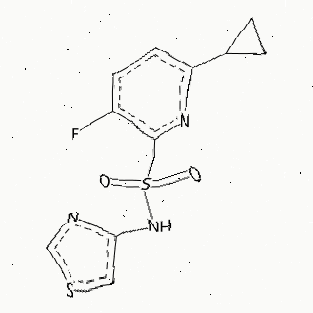 O=S(=O)(Nc1cscn1)c1nc(C2CC2)ccc1F